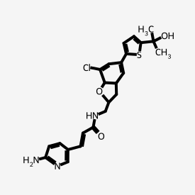 CC(C)(O)c1ccc(C2=CC3CC(CNC(=O)/C=C/c4ccc(N)nc4)OC3C(Cl)=C2)s1